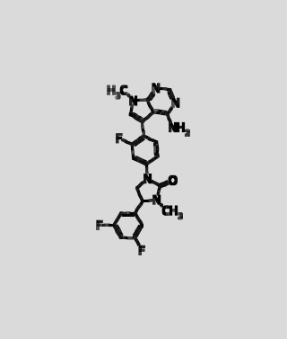 CN1C(=O)N(c2ccc(-c3cn(C)c4ncnc(N)c34)c(F)c2)CC1c1cc(F)cc(F)c1